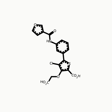 O=C(O)COc1c(C(=O)O)sc(-c2cccc(NC(=O)c3ccoc3)c2)c1Cl